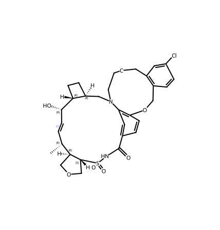 C[C@@H]1/C=C/[C@H](O)[C@@H]2CC[C@H]2CN2CCCCc3cc(Cl)ccc3COc3ccc(cc32)C(=O)NS(=O)(=O)[C@@H]2COC[C@@H]12